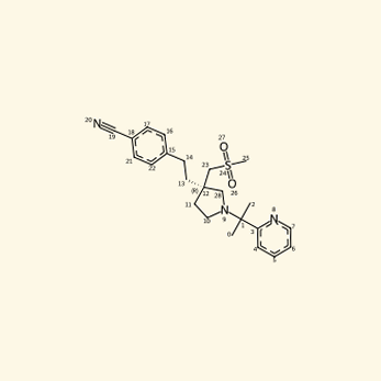 CC(C)(c1ccccn1)N1CC[C@@](CCc2ccc(C#N)cc2)(CS(C)(=O)=O)C1